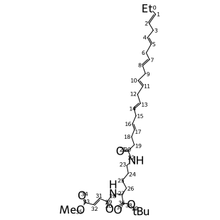 CCC=CCC=CCC=CCC=CCC=CCC=CCCC(=O)NCCCCC(NC(=O)C=CC(=O)OC)C(=O)OC(C)(C)C